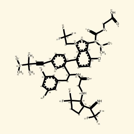 C[S+]([O-])N(C(=O)OCC(=O)O)c1nn(CC(F)(F)F)c2c(-c3ccc(C#CC(C)(C)[S+](C)[O-])nc3C(Cc3cc(F)cc(F)c3)NC(=O)CNC3=C(C(=N)C(F)(F)F)CCC3(F)F)ccc(Cl)c12